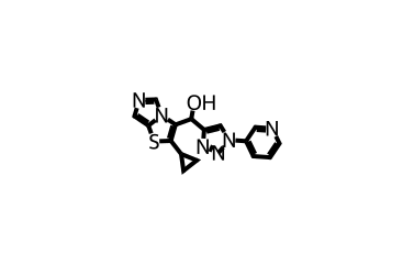 OC(c1cn(-c2cccnc2)nn1)c1c(C2CC2)sc2cncn12